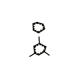 Cc1[c]c(C)cc(C)c1.c1ccccc1